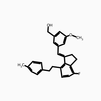 COc1cc(/C=C2\CCc3c(F)ccc(CCc4ccc(C)cc4)c32)cc(CO)c1